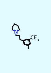 Cc1cc(CCCN2CCCCC2)cc(C(F)(F)F)c1